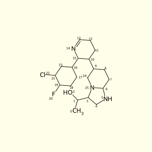 CC(O)C1CNC2CCC(C3CCC=NC3C3CCC(F)C(Cl)C3)CN21